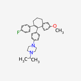 COc1ccc2c(c1)CCCC(c1ccc(F)cc1)=C2c1ccc(N2CCN(C(C)C)CC2)cc1